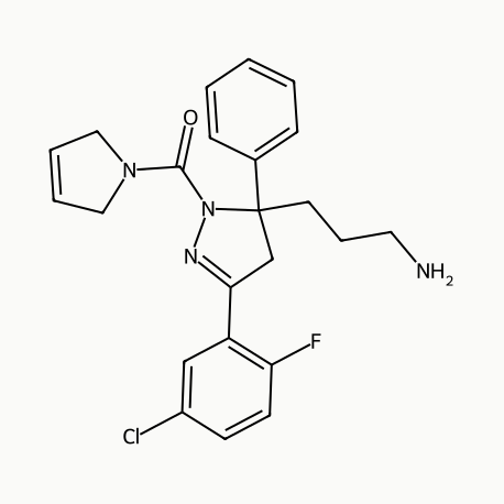 NCCCC1(c2ccccc2)CC(c2cc(Cl)ccc2F)=NN1C(=O)N1CC=CC1